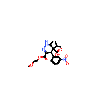 COCCOC(=O)C1=NNC(C)C(C(=O)O)(C(C)C)C1c1cccc([N+](=O)[O-])c1